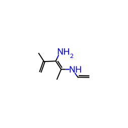 C=CN/C(C)=C(\N)C(=C)C